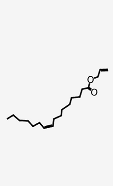 C=CCOC(=O)CCCCCCC/C=C\CCCCCC